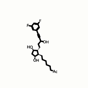 CC(=O)CCCCCC[C@@H]1[C@@H](CCC(O)C#Cc2cc(F)cc(F)c2)[C@H](O)C[C@@H]1O